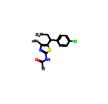 CCCCc1nc(NC(=O)CC)sc1C(C[N+](=O)[O-])c1ccc(Cl)cc1